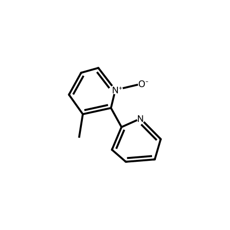 Cc1ccc[n+]([O-])c1-c1ccccn1